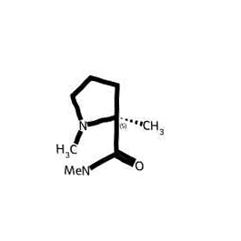 CNC(=O)[C@]1(C)CCCN1C